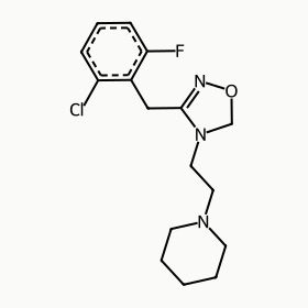 Fc1cccc(Cl)c1CC1=NOCN1CCN1CCCCC1